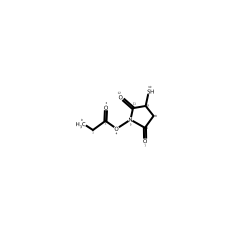 CCC(=O)ON1C(=O)CC(S)C1=O